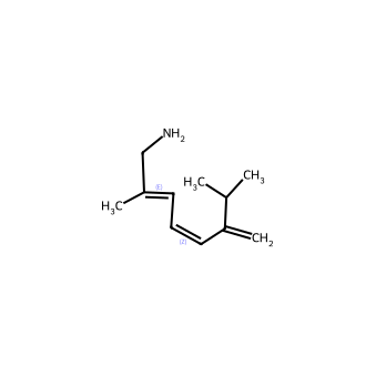 C=C(/C=C\C=C(/C)CN)C(C)C